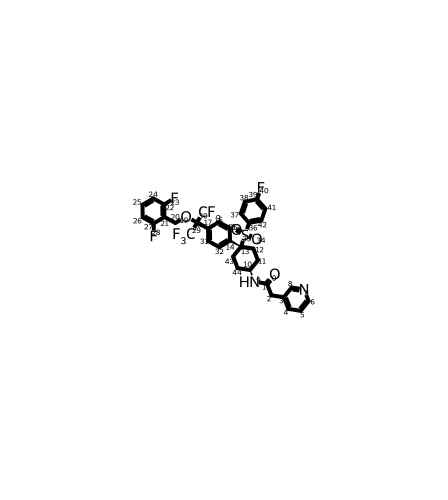 O=C(Cc1cccnc1)N[C@H]1CC[C@@](c2ccc(C(OCc3c(F)cccc3F)(C(F)(F)F)C(F)(F)F)cc2)(S(=O)(=O)c2ccc(F)cc2)CC1